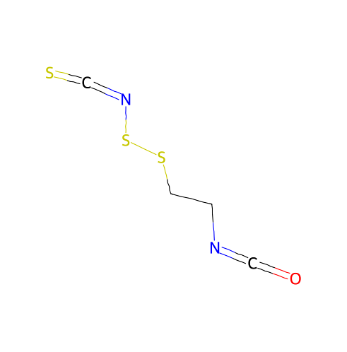 O=C=NCCSSN=C=S